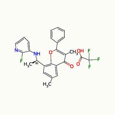 Cc1cc([C@@H](C)Nc2cccnc2F)c2oc(-c3ccccc3)c(C)c(=O)c2c1.O=C(O)C(F)(F)F